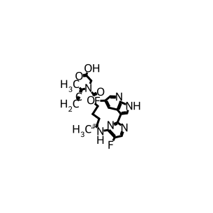 C=C=C(C)N(CC(=O)O)C(=O)OCCC[C@@H](C)Nc1nc(-c2c[nH]c3ncc(F)cc23)ncc1F